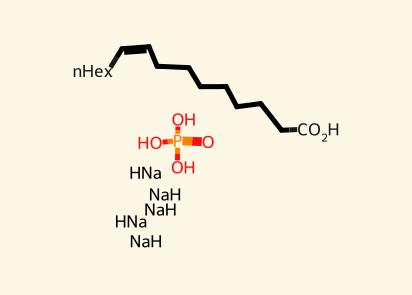 CCCCCC/C=C\CCCCCCCC(=O)O.O=P(O)(O)O.[NaH].[NaH].[NaH].[NaH].[NaH]